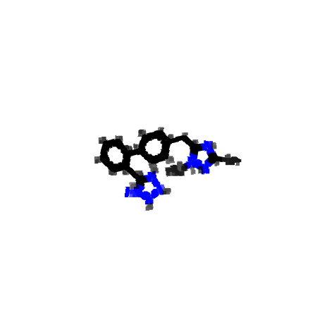 CCCCn1nc(CCC)nc1Cc1ccc(-c2ccccc2-c2nnn[nH]2)cc1